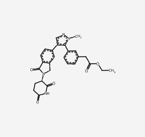 CCOC(=O)Cc1cccc(-c2c(-c3ccc4c(c3)CN(C3CCC(=O)NC3=O)C4=O)cnn2C)c1